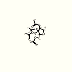 C=C(C)OC[C@]1(OC(C)=O)[C@@H](COC(C)=O)O[C@@H](C)[C@@H]1OC(C)=O